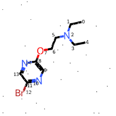 CCN(CC)CCOc1cnc(Br)cn1